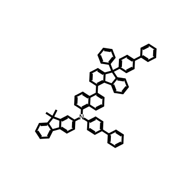 CC1(C)c2ccccc2-c2ccc(N(c3ccc(-c4ccccc4)cc3)c3cccc4c(-c5cccc6c5-c5ccccc5C6(c5ccccc5)c5ccc(-c6ccccc6)cc5)cccc34)cc21